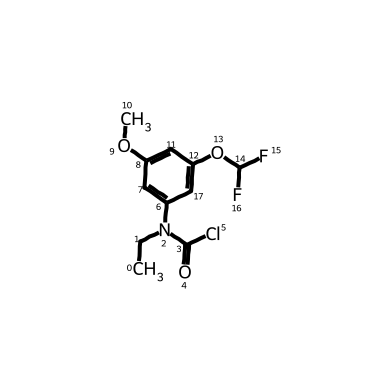 CCN(C(=O)Cl)c1cc(OC)cc(OC(F)F)c1